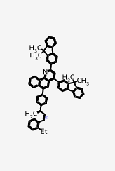 C=C(/C=C\c1ccccc1CC)c1ccc(-c2cc3c(-c4ccc5c(c4)C(C)(C)c4ccccc4-5)cc(-c4ccc5c(c4)C(C)(C)c4ccccc4-5)nc3c3ccccc23)cc1